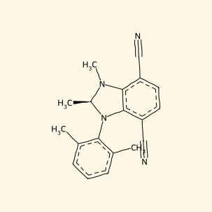 Cc1cccc(C)c1N1c2c(C#N)ccc(C#N)c2N(C)[C@@H]1C